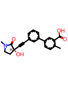 Cc1ccc(-c2cccc(C#C[C@]3(O)CCN(C)C3=O)c2)cc1C(=O)O